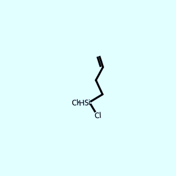 C=CCC[SiH](Cl)Cl